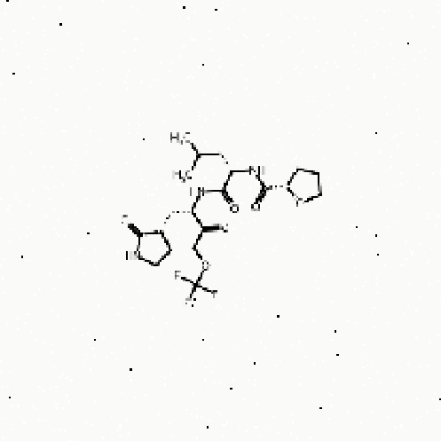 CC(C)C[C@H](NC(=O)[C@@H]1CCCO1)C(=O)N[C@@H](C[C@@H]1CCNC1=O)C(=O)COC(F)(F)F